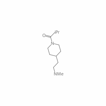 CNCCC1CCN(C(=O)C(C)C)CC1